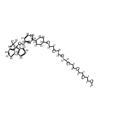 COCCOCCOCCOCCOCCOCCOC1CCC(c2nccc(CO[Si](c3ccccc3)(c3ccccc3)C(C)(C)C)n2)CC1